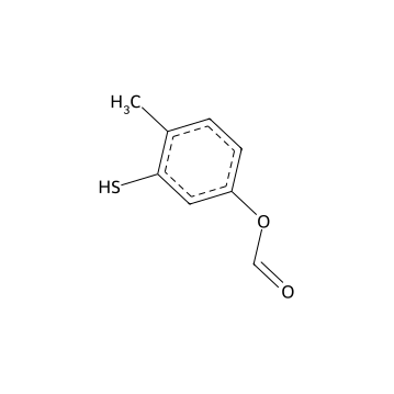 Cc1ccc(OC=O)cc1S